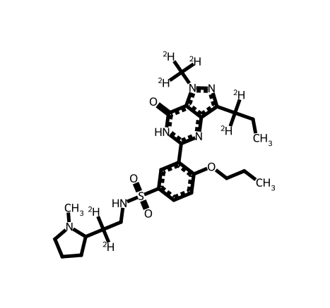 [2H]C([2H])(CC)c1nn(C([2H])([2H])[2H])c2c(=O)[nH]c(-c3cc(S(=O)(=O)NCC([2H])([2H])C4CCCN4C)ccc3OCCC)nc12